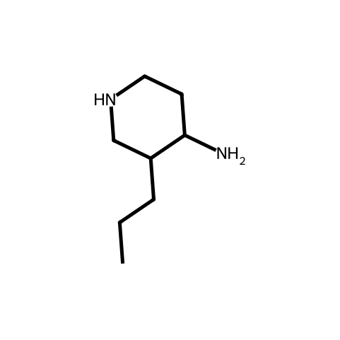 CCCC1CNCCC1N